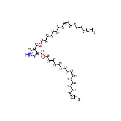 CCCCCC/C=C\CCCCCCCCOC[C@@H]1CNC[C@H]1COCCCCCCCC/C=C\CCCCCC